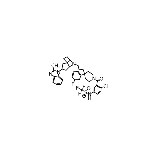 Cc1nc2ccccc2n1C1CC2N(CCCC3(c4cccc(F)c4)CCN(C(=O)c4cc(NS(=O)(=O)C(F)(F)F)ccc4Cl)CC3)C3CCC32C1